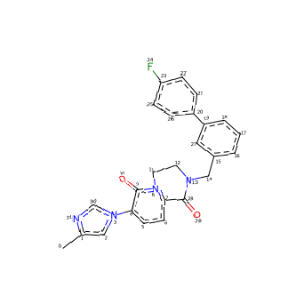 Cc1cn(-c2ccc3n(c2=O)CCN(Cc2cccc(-c4ccc(F)cc4)c2)C3=O)cn1